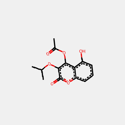 CC(=O)Oc1c(OC(C)C)c(=O)oc2cccc(O)c12